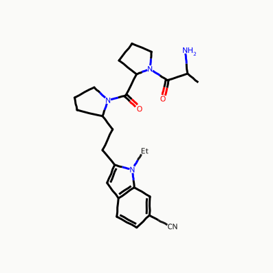 CCn1c(CCC2CCCN2C(=O)C2CCCN2C(=O)C(C)N)cc2ccc(C#N)cc21